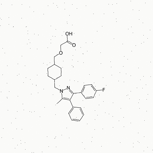 Cc1c(-c2ccccc2)c(-c2ccc(F)cc2)nn1CC1CCC(COCC(=O)O)CC1